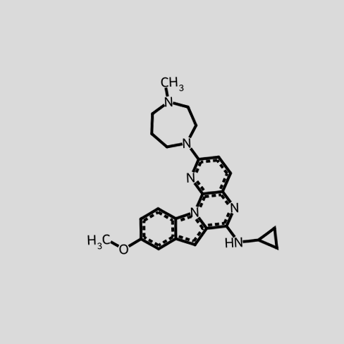 COc1ccc2c(c1)cc1c(NC3CC3)nc3ccc(N4CCCN(C)CC4)nc3n12